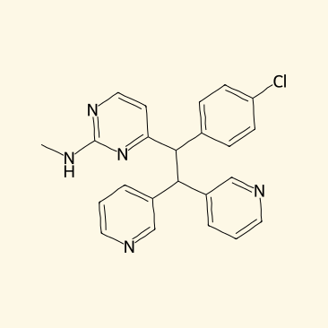 CNc1nccc(C(c2ccc(Cl)cc2)C(c2cccnc2)c2cccnc2)n1